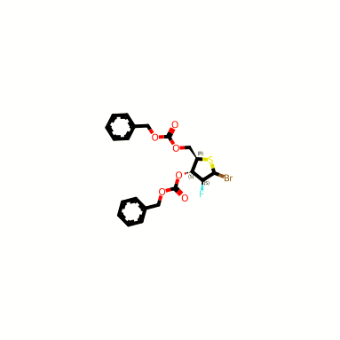 O=C(OCc1ccccc1)OC[C@H]1SC(Br)[C@@H](F)[C@@H]1OC(=O)OCc1ccccc1